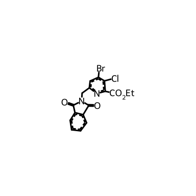 CCOC(=O)c1nc(CN2C(=O)c3ccccc3C2=O)cc(Br)c1Cl